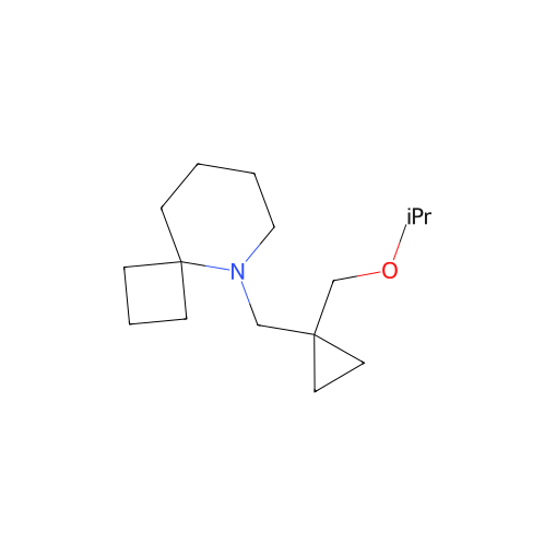 CC(C)OCC1(CN2CCCCC23CCC3)CC1